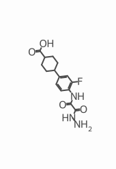 NNC(=O)C(=O)Nc1ccc(C2CCC(C(=O)O)CC2)cc1F